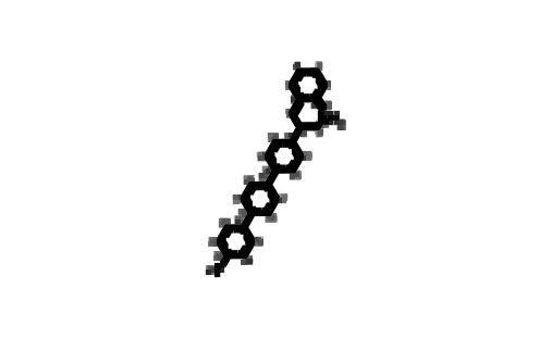 C=c1cccc/c1=C/C(=C\N)c1ccc(-c2ccc(-c3ccc(F)cc3)cc2)cc1